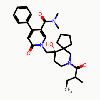 CC(CC(F)(F)F)C(=O)N1CC[C@@](O)(Cn2cc(C(=O)N(C)C)c(-c3ccccc3)cc2=O)C2(CCCC2)C1